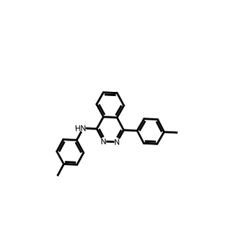 Cc1ccc(Nc2nnc(-c3ccc(C)cc3)c3ccccc23)cc1